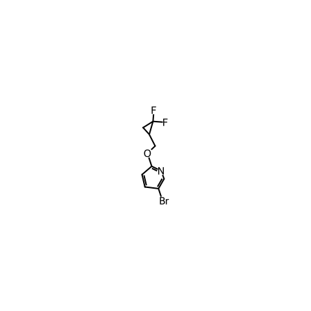 FC1(F)CC1COc1ccc(Br)cn1